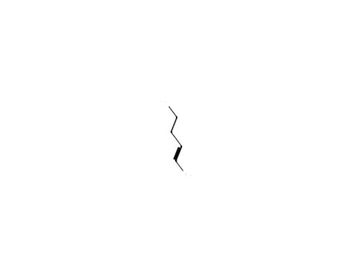 CCCCC/C=C/[As]